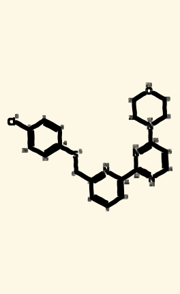 Clc1ccc(SCc2cccc(-c3nccc(N4CCOCC4)n3)n2)cc1